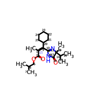 C/C(C(=O)OCC(C)C)=C(/C1=NC(C)(C(C)C)C(=O)N1)C1CCCCC1